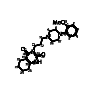 COc1ccccc1N1CCN(CCCn2c(=O)[nH]c3c(c2=O)CCCC3)CC1